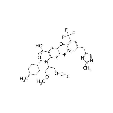 COCC(COC)N(c1cc(F)c(Oc2ncc(Cc3cnn(C)n3)cc2C(F)(F)F)cc1C(=O)O)C(=O)[C@H]1CC[C@H](C)CC1